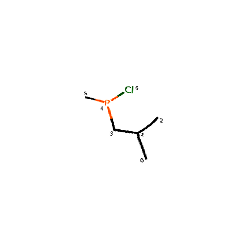 CC(C)CP(C)Cl